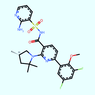 COc1c(F)cc(F)cc1-c1ccc(C(=O)NS(=O)(=O)c2cccnc2N)c(N2C[C@@H](C)CC2(C)C)n1